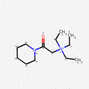 CC[N+](CC)(CC)CC(=O)N1CCCCC1